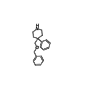 c1ccc(COCC2(c3ccccc3)CCNCC2)cc1